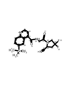 [CH3][Sn]([CH3])([CH3])[c]1ccc2nccc(C(=O)NCC(=O)N3CC(F)(F)CC3C#N)c2c1